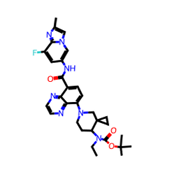 CCN(C(=O)OC(C)(C)C)C1CCN(c2ccc(C(=O)Nc3cc(F)c4nc(C)cn4c3)c3nccnc23)CC12CC2